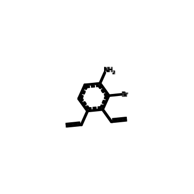 C=Cc1ccc(N)c(Br)c1C=C